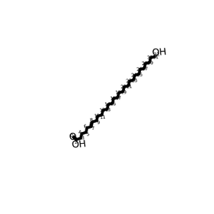 O=C(O)CCCCC=CCCCCCCCCCCCCCCCCCCCCCCCO